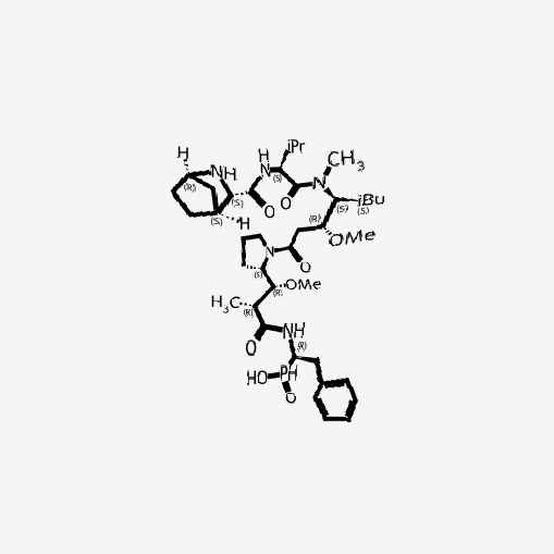 CC[C@H](C)[C@@H]([C@@H](CC(=O)N1CCC[C@H]1[C@H](OC)[C@@H](C)C(=O)N[C@@H](Cc1ccccc1)[PH](=O)O)OC)N(C)C(=O)[C@@H](NC(=O)[C@H]1N[C@@H]2CC[C@H]1C2)C(C)C